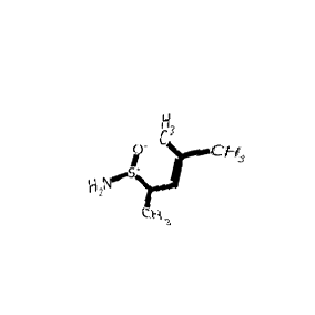 CC(C)=CC(C)[S+](N)[O-]